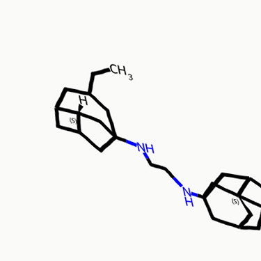 CCC1CC2CC3CC(NCCNC45CC6CC7CC(C4)[C@@]7(C6)C5)(C1)C[C@@H]23